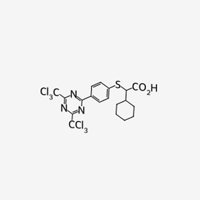 O=C(O)C(Sc1ccc(-c2nc(C(Cl)(Cl)Cl)nc(C(Cl)(Cl)Cl)n2)cc1)C1CCCCC1